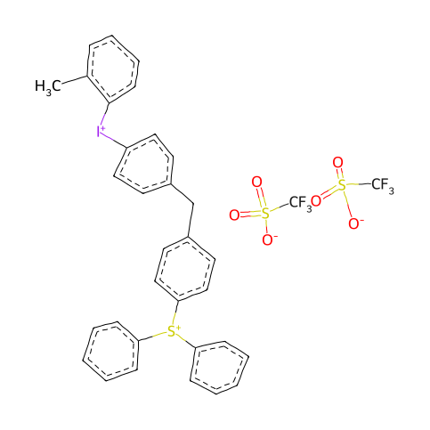 Cc1ccccc1[I+]c1ccc(Cc2ccc([S+](c3ccccc3)c3ccccc3)cc2)cc1.O=S(=O)([O-])C(F)(F)F.O=S(=O)([O-])C(F)(F)F